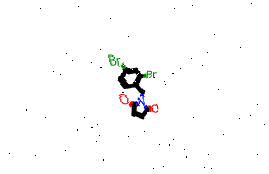 O=C1C=CC(=O)N1Cc1ccc(Br)cc1Br